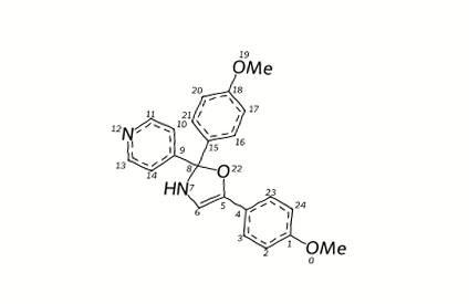 COc1ccc(C2=CNC(c3ccncc3)(c3ccc(OC)cc3)O2)cc1